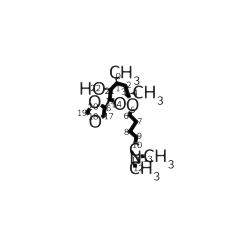 C[C@@H]1C[C@@](C)(OCCCCCN(C)C)OC([C@H]2COCO2)[C@@H]1O